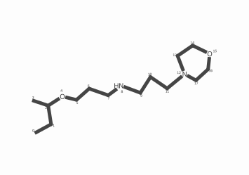 CCC(C)OCCCNCCCN1CCOCC1